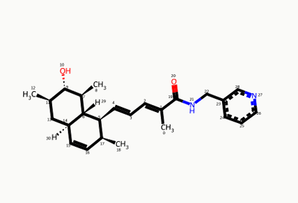 C/C(=C\C=C\[C@@H]1[C@H]2[C@H](C)[C@@H](O)[C@H](C)C[C@@H]2C=C[C@@H]1C)C(=O)NCc1cccnc1